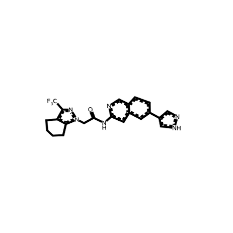 O=C(Cn1nc(C(F)(F)F)c2c1CCCC2)Nc1cc2cc(-c3cn[nH]c3)ccc2cn1